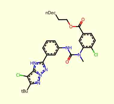 CCCCCCCCCCCCOC(=O)c1ccc(Cl)c(N(C)C(=O)Nc2cccc(-c3nn4nc(C(C)(C)C)c(Cl)c4[nH]3)c2)c1